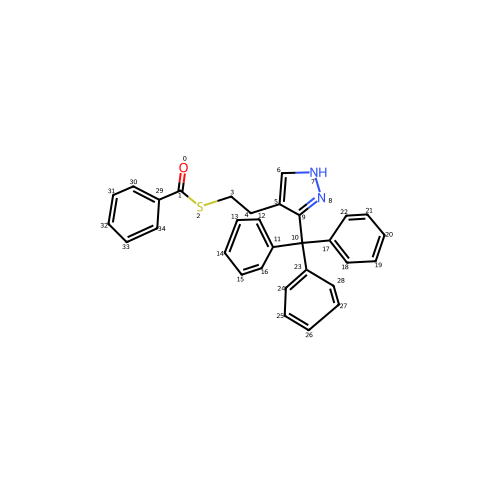 O=C(SCCc1c[nH]nc1C(c1ccccc1)(c1ccccc1)c1ccccc1)c1ccccc1